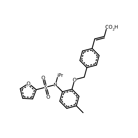 Cc1ccc(N(C(C)C)S(=O)(=O)c2ccco2)c(OCc2ccc(C=CC(=O)O)cc2)c1